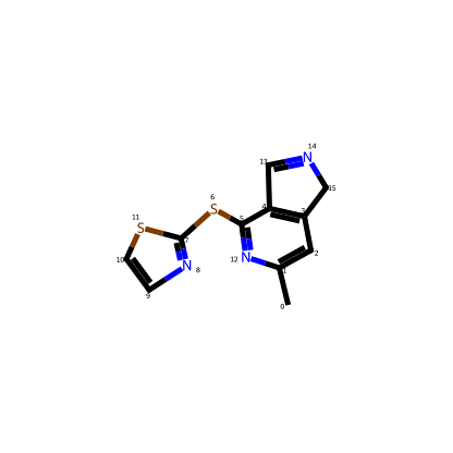 Cc1cc2c(c(Sc3nccs3)n1)C=NC2